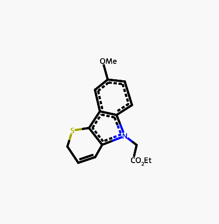 CCOC(=O)Cn1c2c(c3cc(OC)ccc31)SCC=C2